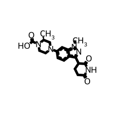 C[C@H]1CN(c2ccc3c(C4CCC(=O)NC4=O)nn(C)c3c2)CCN1C(=O)O